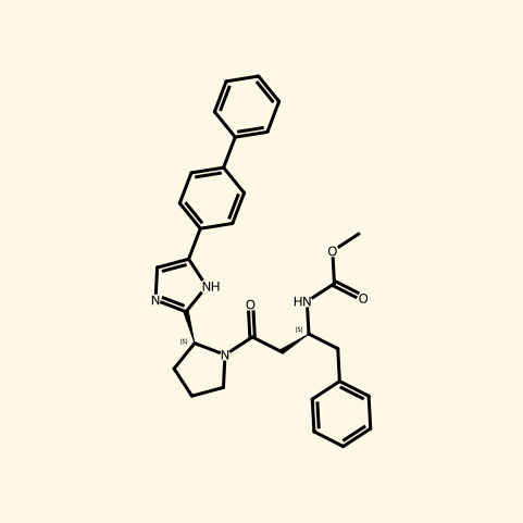 COC(=O)N[C@H](CC(=O)N1CCC[C@H]1c1ncc(-c2ccc(-c3ccccc3)cc2)[nH]1)Cc1ccccc1